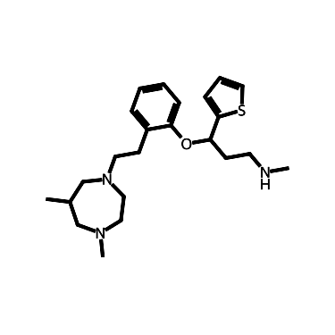 CNCCC(Oc1ccccc1CCN1CCN(C)CC(C)C1)c1cccs1